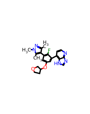 Cc1nn(C)c(C)c1-c1cc(OC2CCOC2)cc(-c2ccnc3nc[nH]c23)c1F